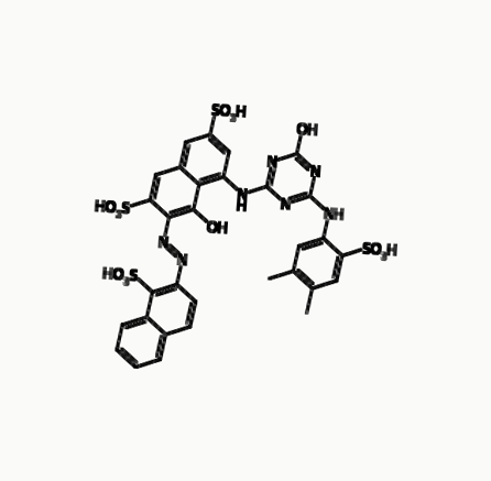 Cc1cc(Nc2nc(O)nc(Nc3cc(S(=O)(=O)O)cc4cc(S(=O)(=O)O)c(/N=N/c5ccc6ccccc6c5S(=O)(=O)O)c(O)c34)n2)c(S(=O)(=O)O)cc1C